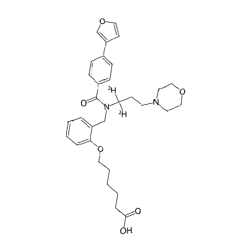 [2H]C([2H])(CCN1CCOCC1)N(Cc1ccccc1OCCCCCC(=O)O)C(=O)c1ccc(-c2ccoc2)cc1